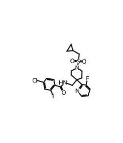 O=C(NCC1(c2ncccc2F)CCN(S(=O)(=O)CC2CC2)CC1)c1ccc(Cl)cc1I